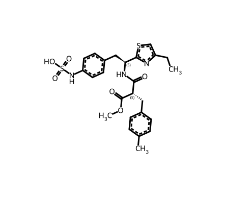 CCc1csc([C@H](Cc2ccc(NS(=O)(=O)O)cc2)NC(=O)[C@H](Cc2ccc(C)cc2)C(=O)OC)n1